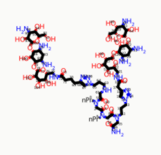 CCCN(CC(=O)N(CCC)CC(=O)N(CCCn1cc(CC(=O)NCC2OC(OC3C(N)CC(N)C(OC4OC(CO)C(O)C(N)C4O)C3O)C(O)C(O)C2O)nn1)CC(N)=O)C(=O)CNCCCn1cc(CCCC(=O)NCC2OC(OC3C(N)CC(N)C(OC4OC(CO)C(O)C(N)C4O)C3O)C(O)C(O)C2O)nn1